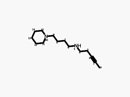 CC#CCCNCCCCN1CCCCC1